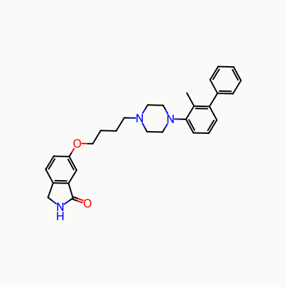 Cc1c(-c2ccccc2)cccc1N1CCN(CCCCOc2ccc3c(c2)C(=O)NC3)CC1